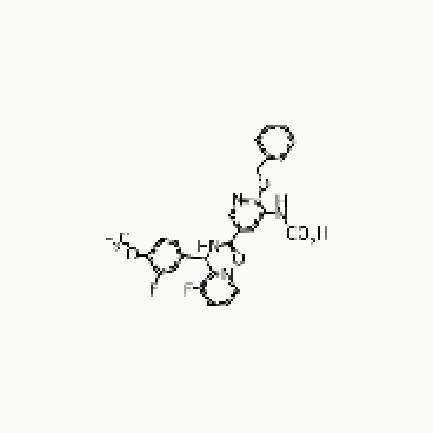 O=C(O)Nc1cc(C(=O)NC(c2ccc(OC(F)(F)F)c(F)c2)c2ncccc2F)cnc1OCc1ccccc1